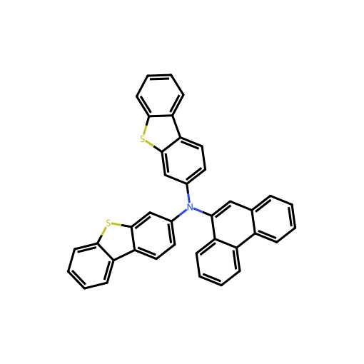 c1ccc2c(c1)cc(N(c1ccc3c(c1)sc1ccccc13)c1ccc3c(c1)sc1ccccc13)c1ccccc12